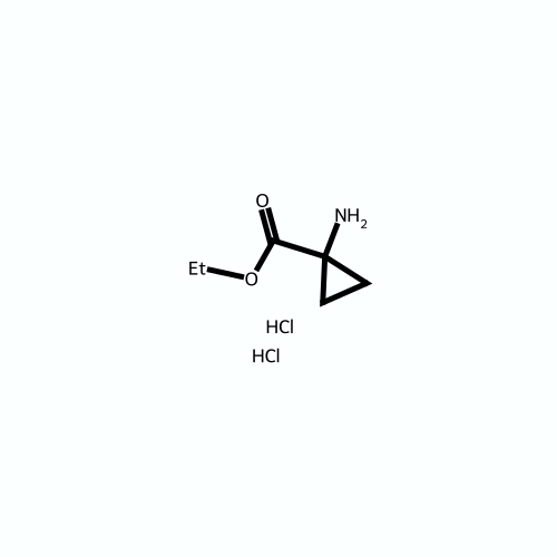 CCOC(=O)C1(N)CC1.Cl.Cl